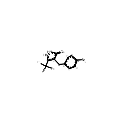 O=c1[nH][nH]c(C(F)(F)F)c1Cc1ccc(Br)cc1